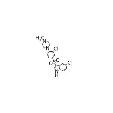 CN1CCN(c2ccc(S(=O)(=O)c3c[nH]c4ccc(Cl)cc34)cc2Cl)CC1